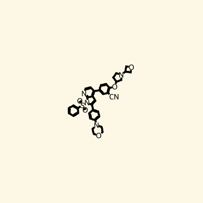 N#Cc1cc(-c2ccnc3c2cc(-c2ccc(N4CCOCC4)cc2)n3S(=O)(=O)c2ccccc2)ccc1OC1CCN(C2COC2)C1